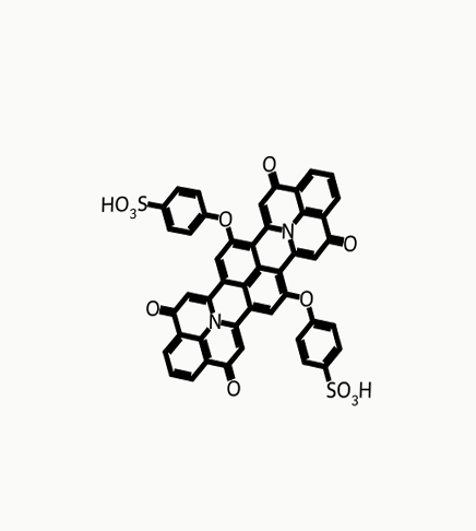 O=c1cc2c3cc(Oc4ccc(S(=O)(=O)O)cc4)c4c5c(c(Oc6ccc(S(=O)(=O)O)cc6)cc(c35)c3cc(=O)c5cccc1c5n23)c1cc(=O)c2cccc3c(=O)cc4n1c32